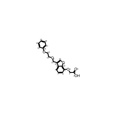 O=C(O)COc1cccc2c(COCCOc3ccccc3)coc12